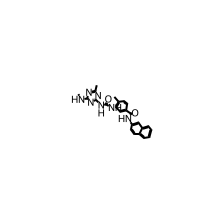 CNc1nc(C)nc(NC(=O)Nc2cc(C(=O)Nc3ccc4ccccc4c3)ccc2C)n1